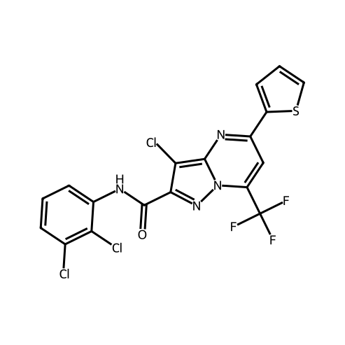 O=C(Nc1cccc(Cl)c1Cl)c1nn2c(C(F)(F)F)cc(-c3cccs3)nc2c1Cl